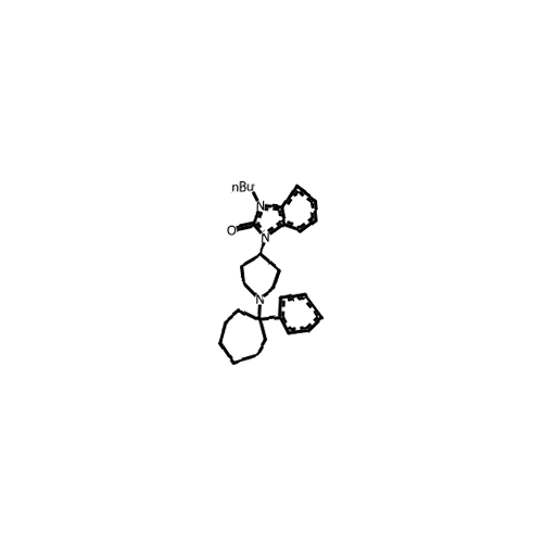 CCCCn1c(=O)n(C2CCN(C3(c4ccccc4)CCCCCC3)CC2)c2ccccc21